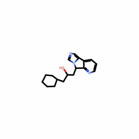 OC(CC1CCCCC1)CC1c2ncccc2-c2cncn21